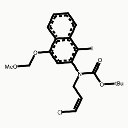 COCOc1cc(N(C/C=C\Cl)C(=O)OC(C)(C)C)c(I)c2ccccc12